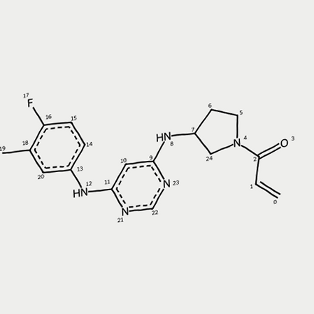 C=CC(=O)N1CCC(Nc2cc(Nc3ccc(F)c(C)c3)ncn2)C1